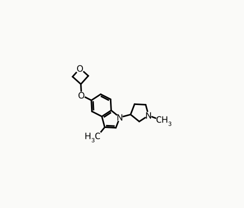 Cc1cn(C2CCN(C)C2)c2ccc(OC3COC3)cc12